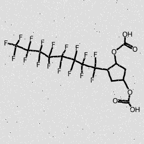 O=C(O)OC1CC(OC(=O)O)C(C(F)(F)C(F)(F)C(F)(F)C(F)(F)C(F)(F)C(F)(F)C(F)(F)C(F)(F)F)C1